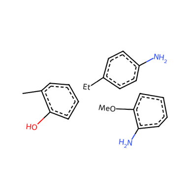 CCc1ccc(N)cc1.COc1ccccc1N.Cc1ccccc1O